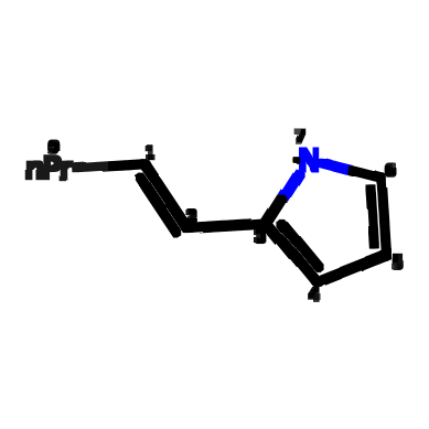 CCCC=CC1=CC=C[N]1